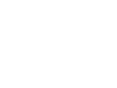 C1=CC2CCC1C2.C1=CCCCCC=C1